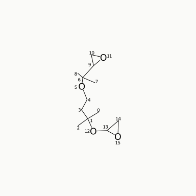 CC(C)(CCOC(C)(C)C1CO1)OC1CO1